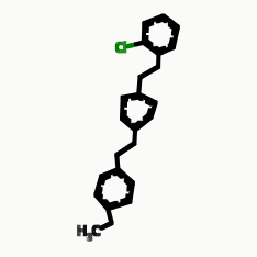 CCc1ccc(CCc2ccc(CCc3ccccc3Cl)cc2)cc1